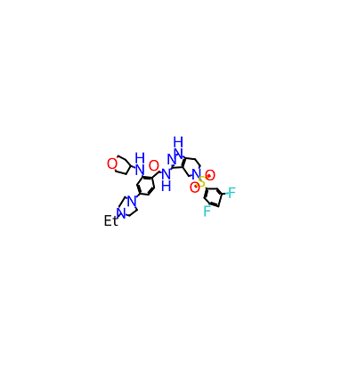 CCN1CCN(c2ccc(C(=O)Nc3n[nH]c4c3CN(S(=O)(=O)c3cc(F)cc(F)c3)CC4)c(NC3CCOCC3)c2)CC1